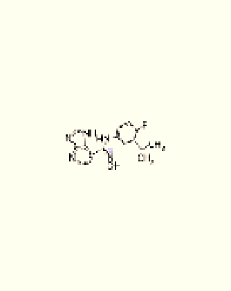 CC(C)c1cc(N/C(=N/O)c2ccnc3nc[nH]c23)ccc1F